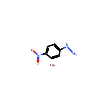 Br.NNc1ccc([N+](=O)[O-])cc1